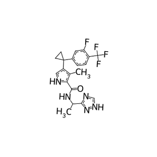 Cc1c(C2(c3ccc(C(F)(F)F)c(F)c3)CC2)c[nH]c1C(=O)NC(C)c1nc[nH]n1